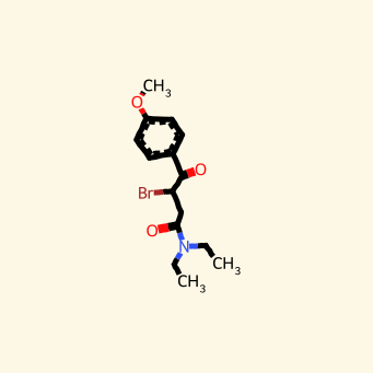 CCN(CC)C(=O)CC(Br)C(=O)c1ccc(OC)cc1